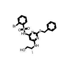 C[C@H](CO)Nc1cc(NS(=O)(=O)c2ccccc2Br)nc(SCc2ccccc2)n1